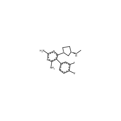 CN[C@@H]1CCN(c2nc(N)nc(N)c2-c2ccc(F)c(F)c2)C1